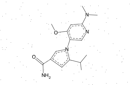 COc1cc(N(C)C)ncc1-n1cc(C(N)=O)cc1C(C)C